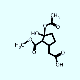 COC(=O)C1C(CC(=O)O)CCC1(O)OC(C)=O